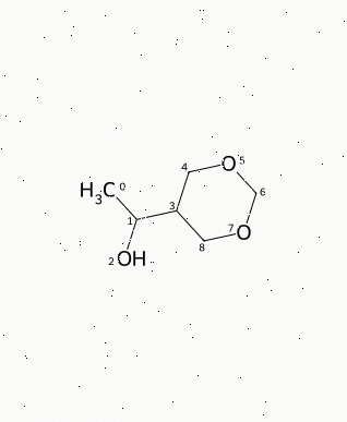 CC(O)C1COCOC1